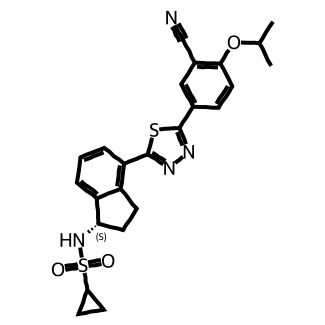 CC(C)Oc1ccc(-c2nnc(-c3cccc4c3CC[C@@H]4NS(=O)(=O)C3CC3)s2)cc1C#N